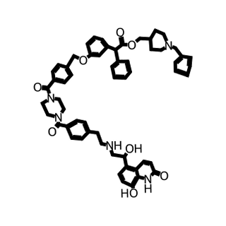 O=C(OCC1CCN(Cc2ccccc2)CC1)C(c1ccccc1)c1cccc(OCc2ccc(C(=O)N3CCN(C(=O)c4ccc(CCNCC(O)c5ccc(O)c6[nH]c(=O)ccc56)cc4)CC3)cc2)c1